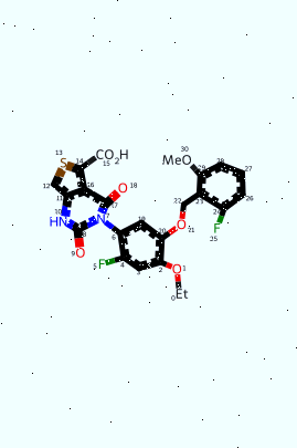 CCOc1cc(F)c(-n2c(=O)[nH]c3csc(C(=O)O)c3c2=O)cc1OCc1c(F)cccc1OC